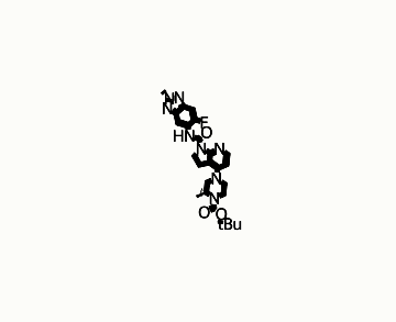 C[C@H]1CN(c2ccnc3c2CCN3C(=O)Nc2cc3nn(C)nc3cc2F)CCN1C(=O)OC(C)(C)C